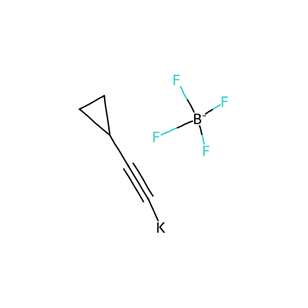 F[B-](F)(F)F.[K][C]#CC1CC1